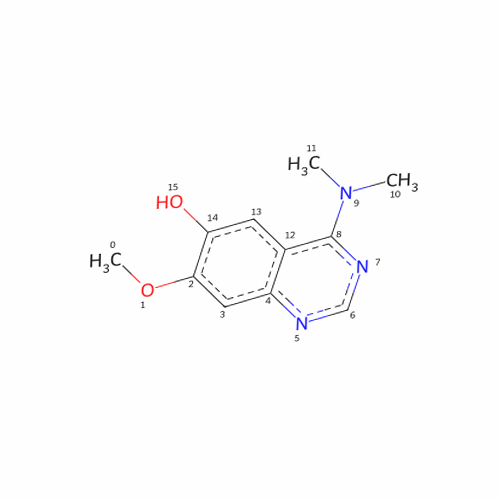 COc1cc2ncnc(N(C)C)c2cc1O